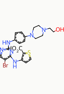 O=C(O)c1sccc1Nc1nc(Nc2ccc(N3CCN(CCO)CC3)cc2)ncc1Br